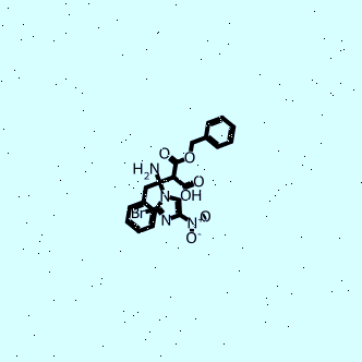 NC(Cc1ccccc1)(C(C(=O)O)C(=O)OCc1ccccc1)n1cc([N+](=O)[O-])nc1Br